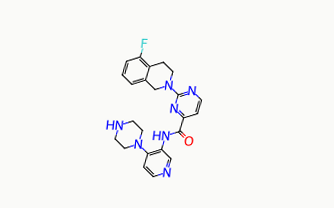 O=C(Nc1cnccc1N1CCNCC1)c1ccnc(N2CCc3c(F)cccc3C2)n1